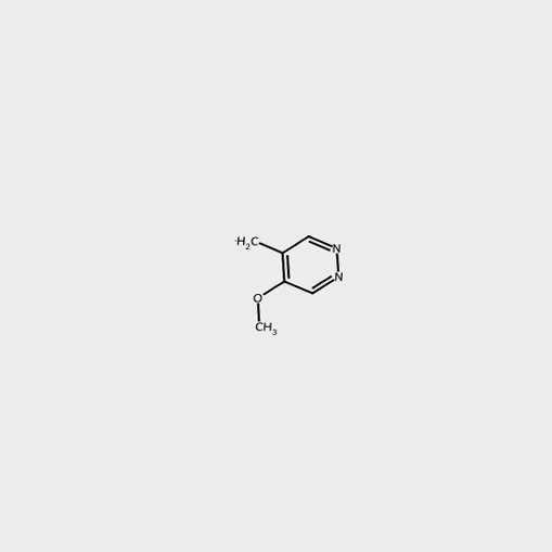 [CH2]c1cnncc1OC